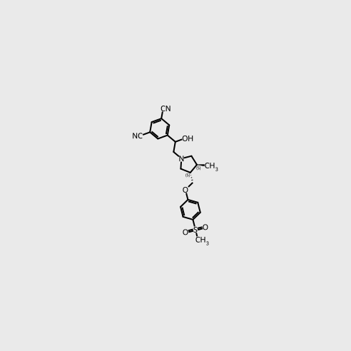 C[C@@H]1CN(CC(O)c2cc(C#N)cc(C#N)c2)C[C@H]1COc1ccc(S(C)(=O)=O)cc1